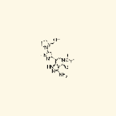 COC[C@@H]1CCCN1c1cc(-c2cn([C@@H](C)C(C)C)c(=O)c3c(N)n[nH]c23)nn1C